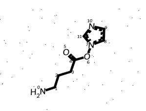 NCCCC(=O)On1ccnc1